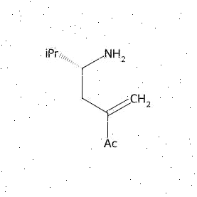 C=C(C[C@@H](N)C(C)C)C(C)=O